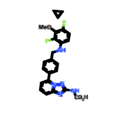 C1CC1.COc1c(F)ccc(NCc2ccc(-c3cccc4nc(NC(=O)O)nn34)cc2)c1F